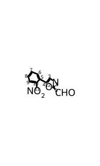 O=Cc1ncc(-c2ccccc2[N+](=O)[O-])o1